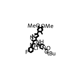 COc1cc(C)c(-c2cc3c(NCC4CCN(C(=O)OC(C)(C)C)CC4)c(/C(N)=N/c4cc(F)ccc4Cl)cnn3c2)cc1OC